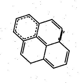 [CH]1C=c2cccc3c2=C2C1=CC=CC21C=CC=CC1=C3